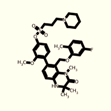 COc1cc(OS(=O)(=O)CCCN2CCCCC2)ccc1-c1ccc2c(c1COc1cc(F)ccc1C)N(C)C(=O)C(C)(C)N2